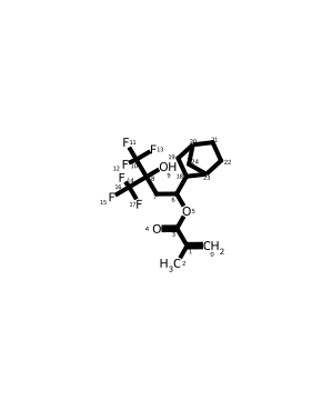 C=C(C)C(=O)OC(CC(O)(C(F)(F)F)C(F)(F)F)C1CC2CCC1C2